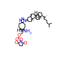 CC(C)CCC[C@@H](C)C1CC[C@H]2[C@@H]3CC=C4C[C@@H](n5nnc6c5CC[C@]5(N)[C@H](CC6)[C@@H]5COC(=O)ON5C(=O)CCC5=O)CC[C@]4(C)C3CC[C@]12C